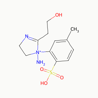 Cc1ccc(S(=O)(=O)O)c([N+]2(N)CCN=C2CCO)c1